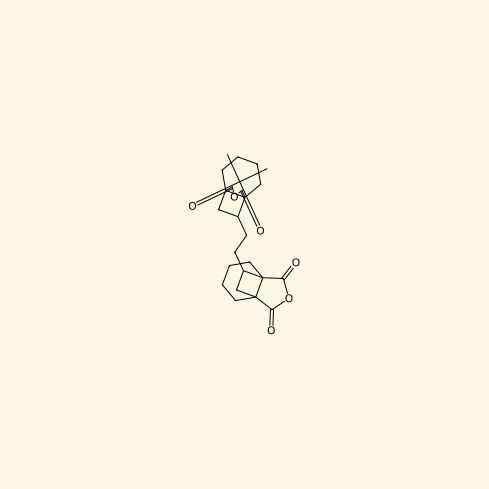 O=C1OC(=O)C23CCCCC12CC3CCC1CC23CCCCC12C(=O)OC3=O